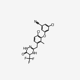 Cc1c(CC2=NNC(=O)C(C(F)(F)F)N2)ccc(Cl)c1Oc1cc(Cl)cc(C#N)c1